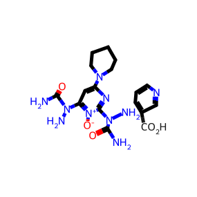 NC(=O)N(N)c1cc(N2CCCCC2)nc(N(N)C(N)=O)[n+]1[O-].O=C(O)c1cccnc1